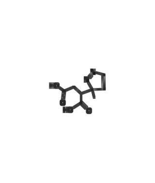 CC1(C(CC(=O)O)C(=O)O)C=CN=N1